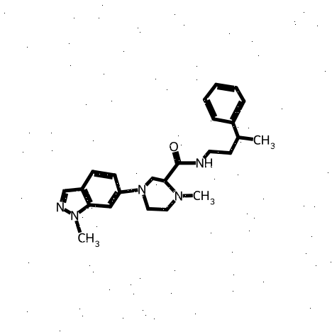 CC(CCNC(=O)C1CN(c2ccc3cnn(C)c3c2)CCN1C)c1ccccc1